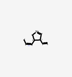 C=CC1C=NCC1/C=C\C